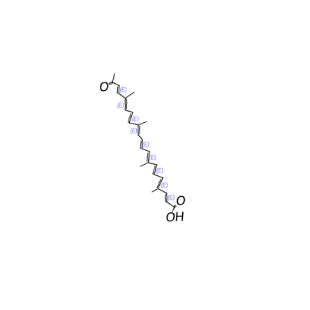 CC(=O)/C=C/C(C)=C/C=C/C(C)=C/C=C/C=C(C)/C=C/C=C(C)/C=C/C(=O)O